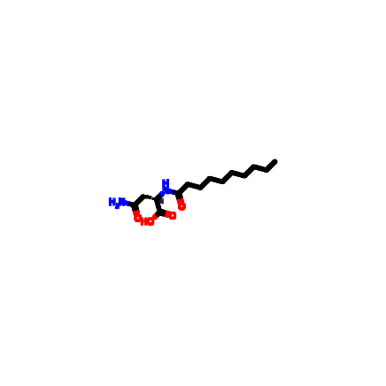 CCCCCCCCCC(=O)N[C@@H](CC(N)=O)C(=O)O